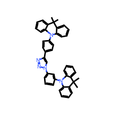 CC1(C)c2ccccc2N(c2ccc(-c3cn(-c4cccc(N5c6ccccc6C(C)(C)c6ccccc65)c4)nn3)cc2)c2ccccc21